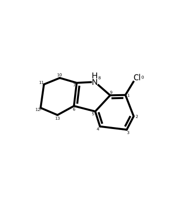 Clc1cccc2c3c([nH]c12)CC[CH]C3